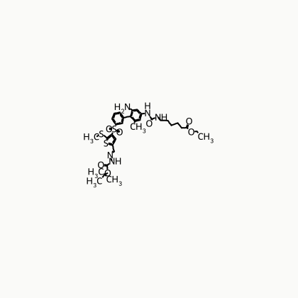 CCOC(=O)CCCCCNC(=O)Nc1cc(C)c(-c2cccc(S(=O)(=O)c3cc(C=NNC(=O)OC(C)(C)C)sc3SC)c2)c(N)c1